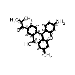 C=c1ccc2c(c1)Oc1cc(N)ccc1C=2c1ccc(C(=O)C(C)C)cc1C(=O)O